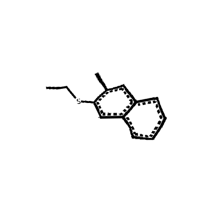 CCSc1[c]c2ccccc2cc1C